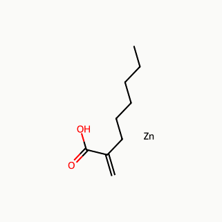 C=C(CCCCCC)C(=O)O.[Zn]